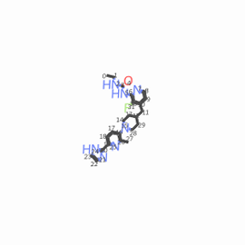 CCNC(=O)Nc1nccc(CC2CCN(c3ccc(-c4ncc[nH]4)nc3C)CC2)c1F